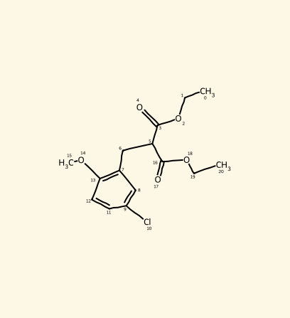 CCOC(=O)C(Cc1cc(Cl)ccc1OC)C(=O)OCC